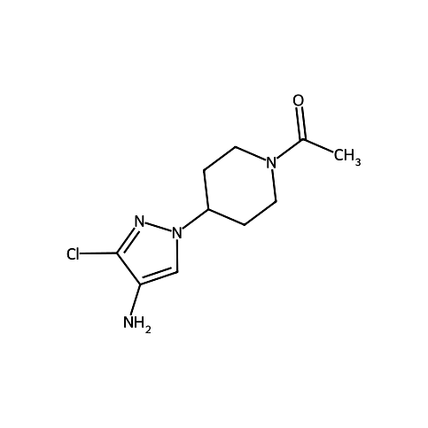 CC(=O)N1CCC(n2cc(N)c(Cl)n2)CC1